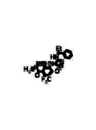 CC[C@@H](Nc1no[n+]([O-])c1Nc1ccc(C(F)(F)F)c(C(=O)N(C)C)c1O)c1ccccc1